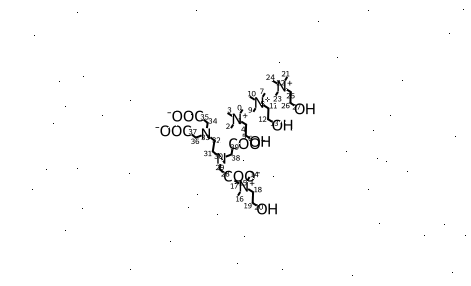 C[N+](C)(C)CCO.C[N+](C)(C)CCO.C[N+](C)(C)CCO.C[N+](C)(C)CCO.O=C([O-])CN(CCN(CC(=O)[O-])CC(=O)[O-])CC(=O)[O-]